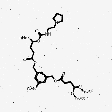 CC[CH]CCCCCCCc1cc(COC(=O)CCC(CCCCCC)OC(=O)NCCN2CCCC2)cc(COC(=O)CCC(OCCCCCCCC)OCCCCCCCC)c1